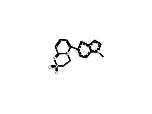 Cn1ccc2cc(C3=CC=CC4=NS(=O)(=O)CCN34)ccc21